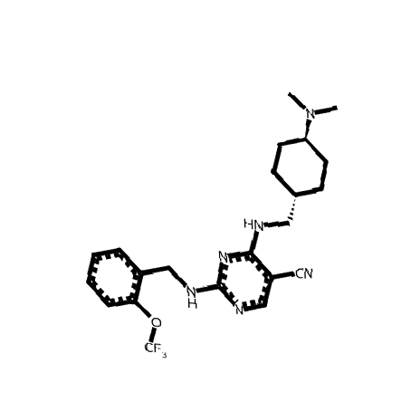 CN(C)[C@H]1CC[C@H](CNc2nc(NCc3ccccc3OC(F)(F)F)ncc2C#N)CC1